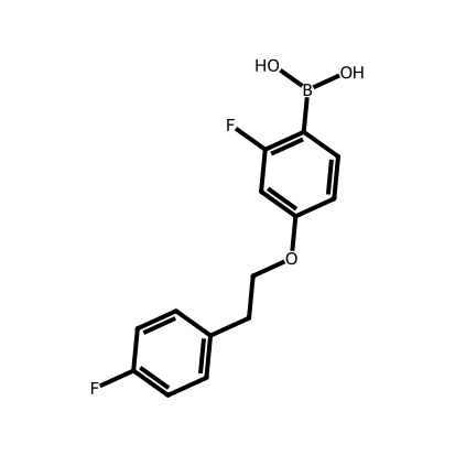 OB(O)c1ccc(OCCc2ccc(F)cc2)cc1F